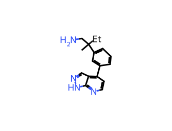 CCC(C)(CN)c1cccc(-c2ccnc3[nH]ncc23)c1